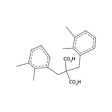 Cc1cccc(CC(Cc2cccc(C)c2C)(C(=O)O)C(=O)O)c1C